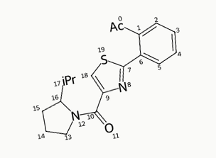 CC(=O)c1ccccc1-c1nc(C(=O)N2CCCC2C(C)C)cs1